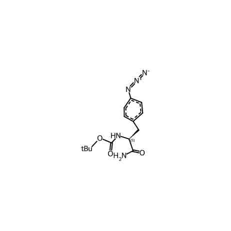 CC(C)(C)OC(=O)N[C@@H](Cc1ccc(N=[N+]=[N-])cc1)C(N)=O